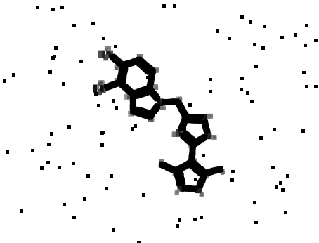 Cc1noc(C)c1-c1nc(Cn2ccc3c(C(F)(F)F)c(N)ccc32)no1